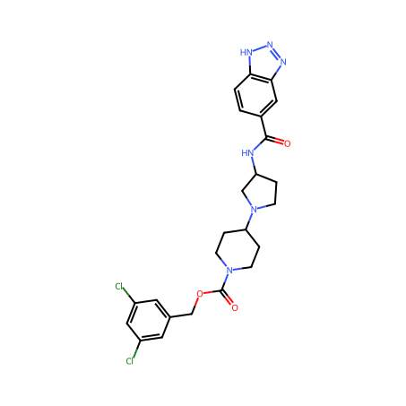 O=C(NC1CCN(C2CCN(C(=O)OCc3cc(Cl)cc(Cl)c3)CC2)C1)c1ccc2[nH]nnc2c1